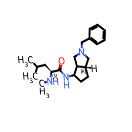 CN[C@@H](CC(C)C)C(=O)NC1CC[C@H]2CN(Cc3ccccc3)CC12